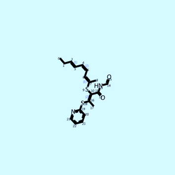 CC/C=C/C=C\C=C(/C)S/C(C(=O)NC=O)=C(/C)Sc1ccccn1